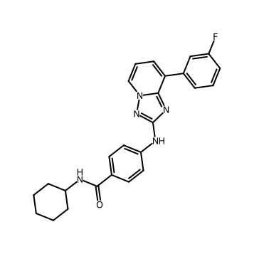 O=C(NC1CCCCC1)c1ccc(Nc2nc3c(-c4cccc(F)c4)cccn3n2)cc1